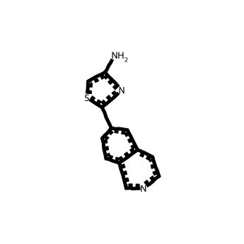 Nc1csc(-c2ccc3cnccc3c2)n1